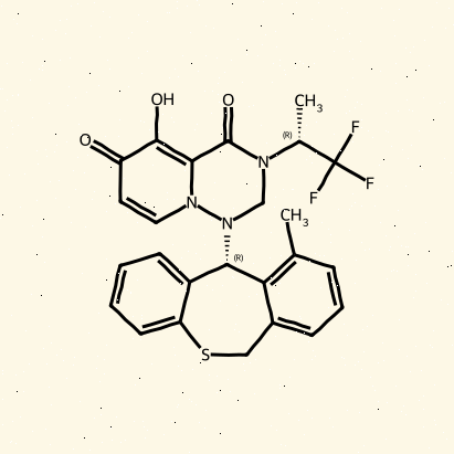 Cc1cccc2c1[C@@H](N1CN([C@H](C)C(F)(F)F)C(=O)c3c(O)c(=O)ccn31)c1ccccc1SC2